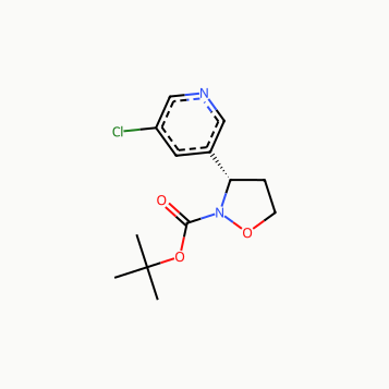 CC(C)(C)OC(=O)N1OCC[C@H]1c1cncc(Cl)c1